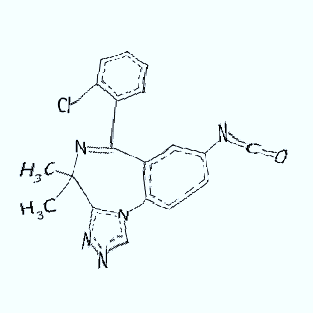 CC1(C)N=C(c2ccccc2Cl)c2cc(N=C=O)ccc2-n2cnnc21